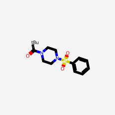 CC(C)(C)C(=O)N1CCN(S(=O)(=O)c2ccccc2)CC1